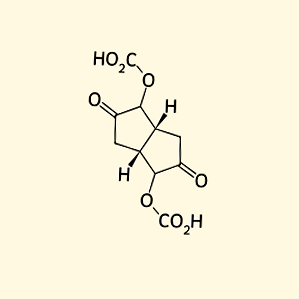 O=C(O)OC1C(=O)C[C@H]2C(OC(=O)O)C(=O)C[C@@H]12